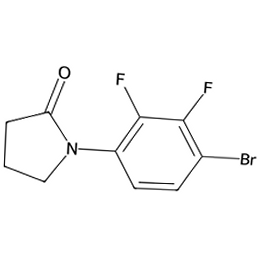 O=C1CCCN1c1ccc(Br)c(F)c1F